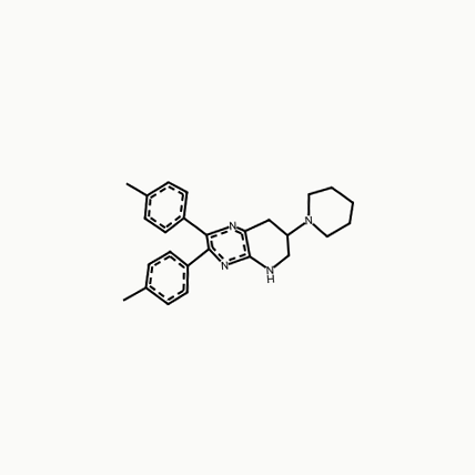 Cc1ccc(-c2nc3c(nc2-c2ccc(C)cc2)NCC(N2CCCCC2)C3)cc1